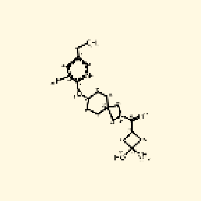 CCc1cnc(OC2CCC3(CC2)CN(C(=O)C2CC(C)(O)C2)C3)c(F)c1